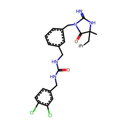 CC(C)CC1(C)NC(=N)N(Cc2cccc(CNC(=O)NCc3ccc(Cl)c(Cl)c3)c2)C1=O